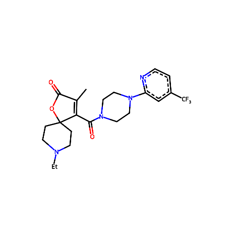 CCN1CCC2(CC1)OC(=O)C(C)=C2C(=O)N1CCN(c2cc(C(F)(F)F)ccn2)CC1